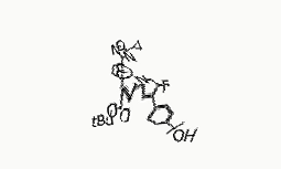 CC(C)(C)OC(=O)N(CC12CCC(c3noc(C4CC4)n3)(CC1)CC2)c1cc(-c2ccc(C(C)(C)O)cc2)c(F)cn1